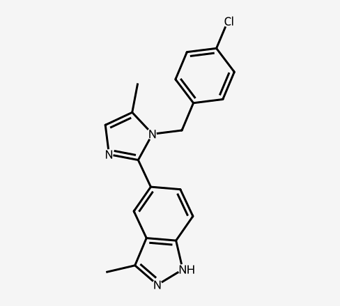 Cc1n[nH]c2ccc(-c3ncc(C)n3Cc3ccc(Cl)cc3)cc12